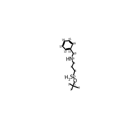 CC(C)(C)O[SiH2]CCCNCc1ccccc1